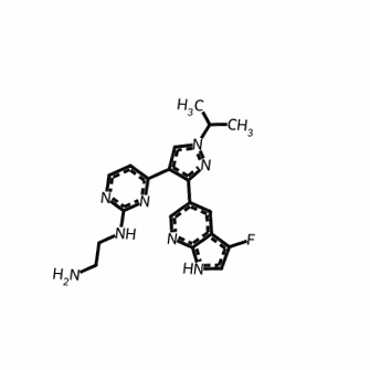 CC(C)n1cc(-c2ccnc(NCCN)n2)c(-c2cnc3[nH]cc(F)c3c2)n1